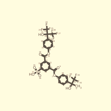 CC(O)(c1ccc(OC(=O)c2cc(C(=O)Oc3ccc(C(O)(C(F)(F)F)C(F)(F)F)cc3)cc(S(=O)(=O)O)c2)cc1)C(F)(F)F